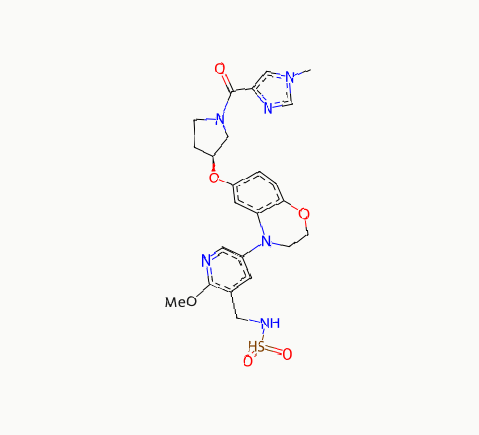 COc1ncc(N2CCOc3ccc(O[C@H]4CCN(C(=O)c5cn(C)cn5)C4)cc32)cc1CN[SH](=O)=O